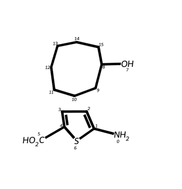 Nc1ccc(C(=O)O)s1.OC1CCCCCCC1